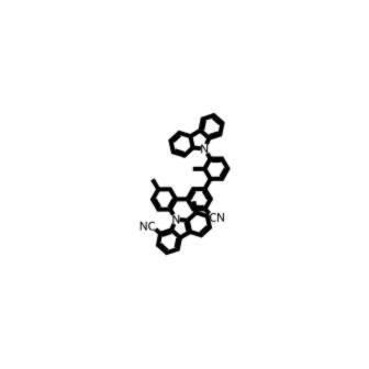 CC1C=CC(n2c3c(c4cccc(C#N)c42)C=CCC3C)=C(c2cc(C#N)cc(C3C=CC=C(N4c5ccccc5C5C=CC=CC54)C3C)c2)C1